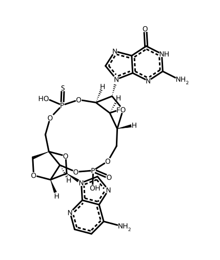 Nc1nc2c(ncn2[C@@H]2O[C@@H]3COP(=O)(O)O[C@H]4[C@H]5OC[C@@]4(COP(O)(=S)O[C@@H]2[C@H]3F)O[C@H]5n2cnc3c(N)ccnc32)c(=O)[nH]1